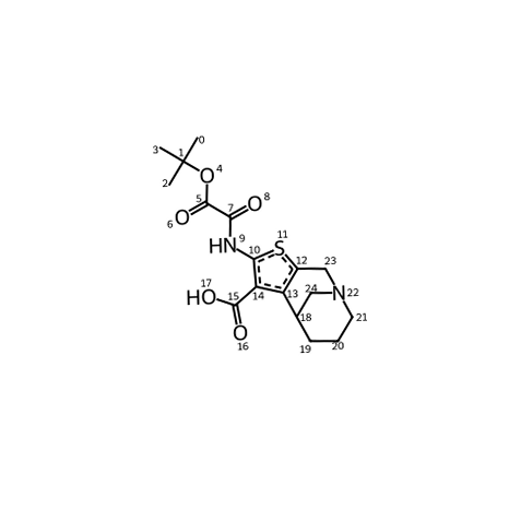 CC(C)(C)OC(=O)C(=O)Nc1sc2c(c1C(=O)O)C1CCCN(C2)C1